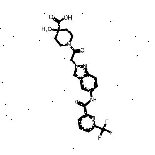 CC1(C(=O)O)CCN(C(=O)Cn2cc3cc(NC(=O)c4cccc(C(F)(F)F)n4)ccc3n2)CC1